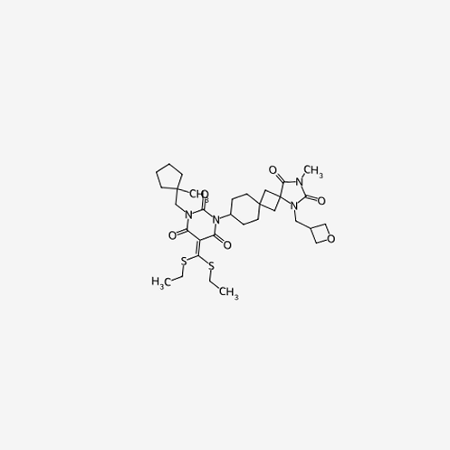 CCSC(SCC)=C1C(=O)N(CC2(C)CCCC2)C(=O)N(C2CCC3(CC2)CC2(C3)C(=O)N(C)C(=O)N2CC2COC2)C1=O